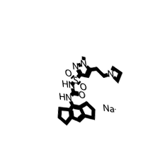 Cn1nc(S(=O)(=O)NC(=O)Nc2c3c(cc4c2CCC4)CCC3)cc1CCN1CCC1.[Na]